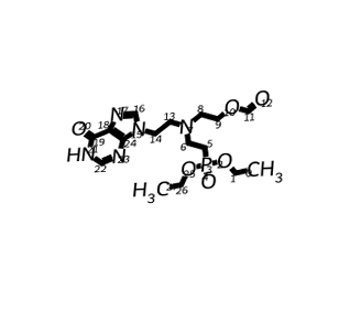 CCOP(=O)(CCN(CCOC=O)CCn1cnc2c(=O)[nH]cnc21)OCC